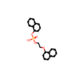 O=P(O)(OCCOc1cccc2ccccc12)Oc1cccc2ccccc12